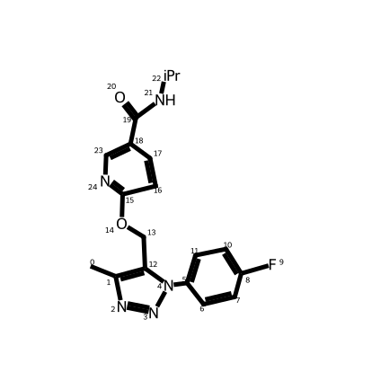 Cc1nnn(-c2ccc(F)cc2)c1COc1ccc(C(=O)NC(C)C)cn1